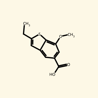 CCc1cc2cc(C(=O)O)cc(OC)c2s1